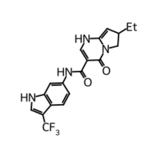 CCC1C=C2NC=C(C(=O)Nc3ccc4c(C(F)(F)F)c[nH]c4c3)C(=O)N2C1